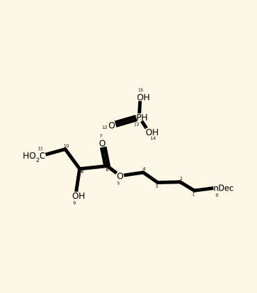 CCCCCCCCCCCCCCOC(=O)C(O)CC(=O)O.O=[PH](O)O